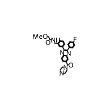 COCC(=O)NCc1cccc(-c2nc3ccc(C(=O)N4CCN(C)CC4)cc3nc2-c2ccc(F)cc2)c1